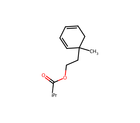 CC(C)C(=O)OCCC1(C)C=CC=CC1